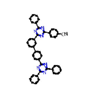 N#Cc1ccc(-c2nc(-c3ccccc3)nc(-c3cccc(-c4ccc(-c5nc(-c6ccccc6)nc(-c6ccccc6)n5)cc4)c3)n2)cc1